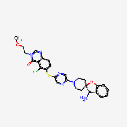 COCCn1cnc2ccc(Sc3cnc(N4CCC5(CC4)Oc4ccccc4[C@H]5N)cn3)c(Cl)c2c1=O